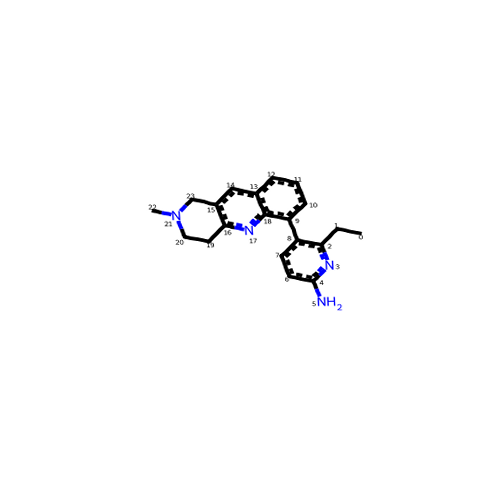 CCc1nc(N)ccc1-c1cccc2cc3c(nc12)CCN(C)C3